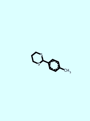 Cc1ccc(C2SCCCS2)cc1